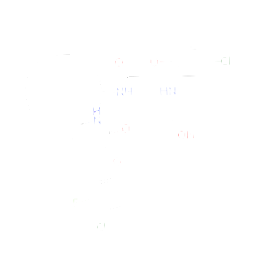 O=C(COc1ccc(Cl)cc1NCCO)NC1CCCCCCCCCC2CC(NC(=O)COc3ccc(Cl)c(F)c3)(C2)C1